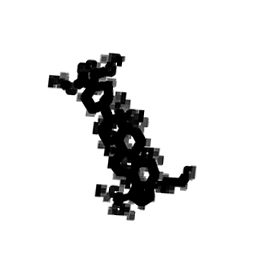 C=C(C)[C@@H]1CC[C@]2(NCCCl)CC[C@]3(C)[C@H](CC[C@@H]4[C@@]5(C)CC=C(C6=CCC(C(=O)OC(C)C)(C(=O)OC(C)C)CC6)C(C)(C)[C@@H]5CC[C@]43C)[C@@H]12